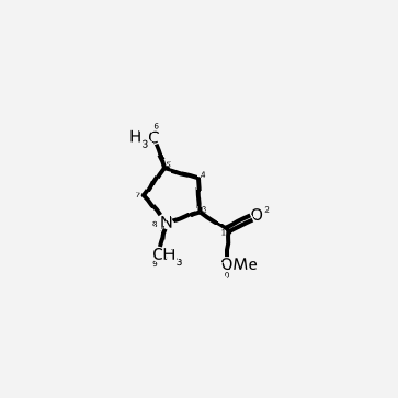 COC(=O)C1CC(C)CN1C